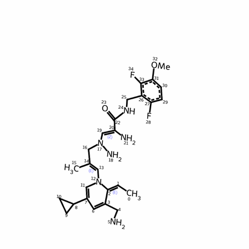 C/C=C1\C(CN)=CC(C2CC2)=CN1/C=C(\C)CN(N)/C=C(\N)C(=O)NCc1c(F)ccc(OC)c1F